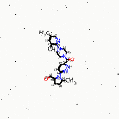 Cc1cnc(N2CCN(C(=O)c3ccc(N4C(C)CCC4C=O)nn3)CC2)c(C)c1